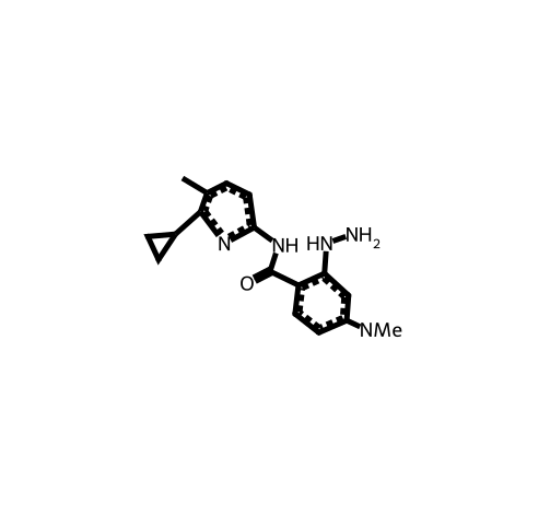 CNc1ccc(C(=O)Nc2ccc(C)c(C3CC3)n2)c(NN)c1